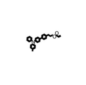 C=CC(=O)OCCCc1ccc(-c2ccc(N(c3ccccc3)c3ccc(C)cc3)cc2)cc1